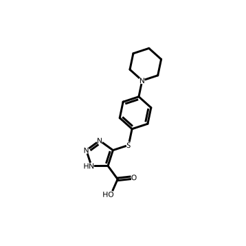 O=C(O)c1[nH]nnc1Sc1ccc(N2CCCCC2)cc1